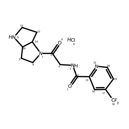 Cl.O=C(NCC(=O)N1CCC2NCCC21)c1cc(C(F)(F)F)ccn1